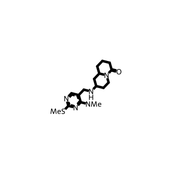 CNc1nc(SC)ncc1CNC1CCN2C(=O)CCCC2C1